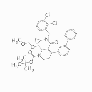 COCOCC1C(C(=O)N(Cc2cccc(Cl)c2Cl)C2CC2)=C(c2cccc(-c3ccccc3)c2)CCN1C(=O)OC(C)(C)C